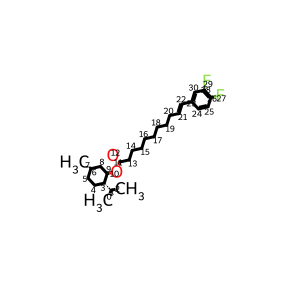 CC(C)[C@@H]1CC[C@@H](C)CC1OC(=O)CCCCCCCC/C=C/c1ccc(F)c(F)c1